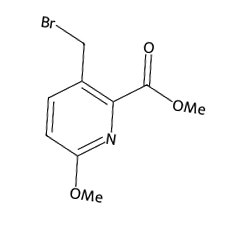 COC(=O)c1nc(OC)ccc1CBr